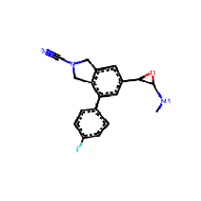 CNC1OC1c1cc2c(c(-c3ccc(F)cc3)c1)CN(C#N)C2